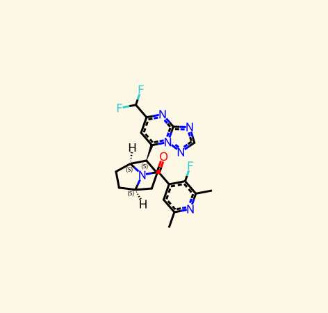 Cc1cc(C(=O)N2[C@H]3CC[C@H](c4cc(C(F)F)nc5ncnn45)[C@@H]2CC3)c(F)c(C)n1